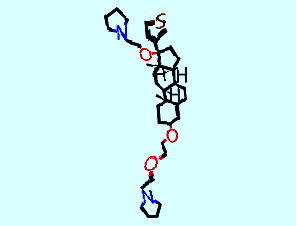 C[C@]12CC[C@H](OCCOCCN3CCCC3)C=C1CC[C@@H]1[C@@H]2CC[C@@]2(C)[C@H]1CC[C@@]2(OCCN1CCCC1)c1ccsc1